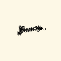 CCC(C)n1ncn(-c2ccc(N3CCN(c4ccc(OC[C@@H]5CO[C@](Cc6ccnnc6)(c6ccccc6Cl)O5)cc4)CC3)cc2)c1=O